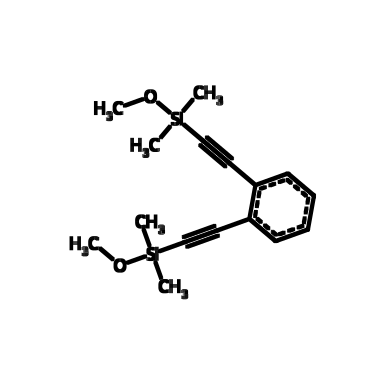 CO[Si](C)(C)C#Cc1ccccc1C#C[Si](C)(C)OC